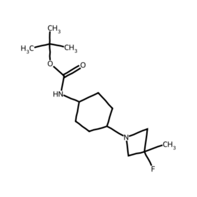 CC1(F)CN(C2CCC(NC(=O)OC(C)(C)C)CC2)C1